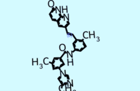 Cc1cc(C(=O)Nc2ccc(C)c(/C=C/c3cnc4[nH]c(=O)ccc4c3)c2)cc(-n2cnc(C)c2)c1